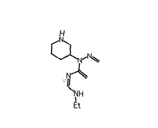 C=NN(C(=C)/N=C\NCC)C1CCCNC1